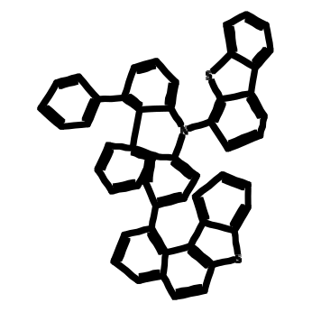 c1ccc(-c2cccc(N(c3ccc(-c4cccc5ccc6sc7ccccc7c6c45)cc3)c3cccc4c3sc3ccccc34)c2-c2ccccc2)cc1